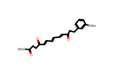 COC(=O)CCC(=O)/C=C/C=C/C=C/C(=O)CCc1cccc(OC)c1